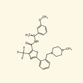 COc1cccc([C@H](C)NC(=O)c2sc(-c3ccccc3CN3CCN(C)CC3)nc2C(F)(F)F)c1